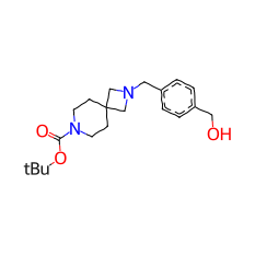 CC(C)(C)OC(=O)N1CCC2(CC1)CN(Cc1ccc(CO)cc1)C2